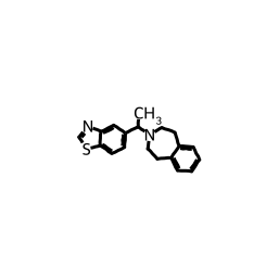 CC(c1ccc2scnc2c1)N1CCc2ccccc2CC1